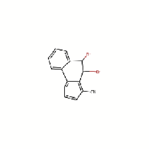 N#Cc1cccc2c1C(Br)C(Br)c1ccccc1-2